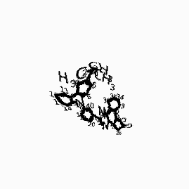 CC(C)(C)c1ccc2c(c1)c1ccccc1n2-c1cccc(-c2cnc3c4ccccc4c4ccccc4c3n2)c1